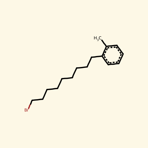 Cc1ccccc1CCCCCCCCCBr